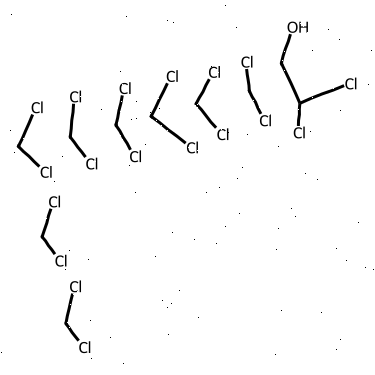 ClCCl.ClCCl.ClCCl.ClCCl.ClCCl.ClCCl.ClCCl.ClCCl.OCC(Cl)Cl